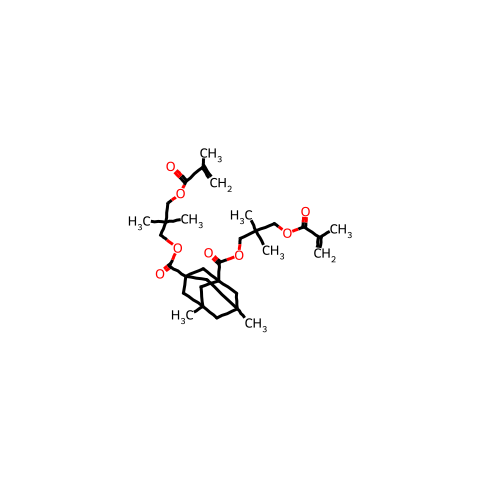 C=C(C)C(=O)OCC(C)(C)COC(=O)C12CC3(C)CC(C)(C1)CC(C(=O)OCC(C)(C)COC(=O)C(=C)C)(C3)C2